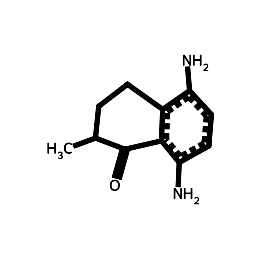 CC1CCc2c(N)ccc(N)c2C1=O